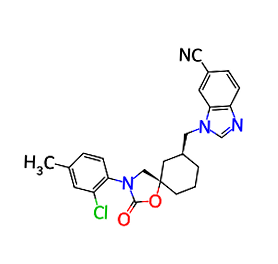 Cc1ccc(N2C[C@@]3(CCC[C@H](Cn4cnc5ccc(C#N)cc54)C3)OC2=O)c(Cl)c1